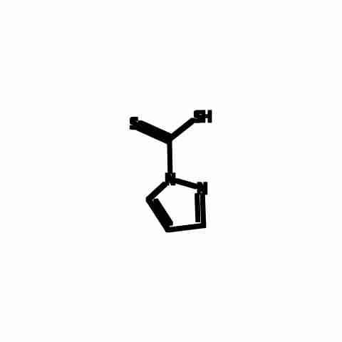 S=C(S)n1cccn1